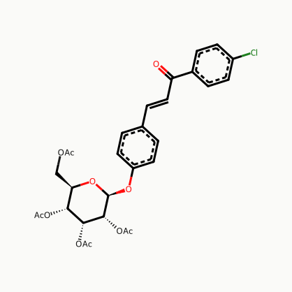 CC(=O)OC[C@H]1O[C@@H](Oc2ccc(/C=C/C(=O)c3ccc(Cl)cc3)cc2)[C@H](OC(C)=O)[C@H](OC(C)=O)[C@@H]1OC(C)=O